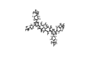 Fc1c(F)c(-c2c(F)c(F)c(-c3nc(-c4ccc(C(F)(F)F)cc4)nc(-c4ccc(C(F)(F)F)cc4)n3)c(F)c2F)c(F)c(F)c1-c1nc(-c2ccc(C(F)(F)F)cc2)nc(-c2ccc(C(F)(F)F)cc2)n1